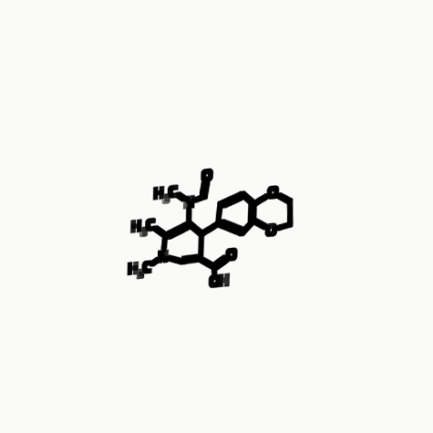 CC1=C(N(C)C=O)C(c2ccc3c(c2)OCCO3)C(C(=O)O)=CN1C